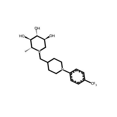 C[C@@H]1[C@@H](O)[C@H](O)[C@@H](O)CN1CC1CCN(c2ccc(C(F)(F)F)cc2)CC1